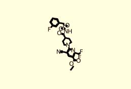 CCOC(=O)c1cc(C#N)c(N2CCC(C(=O)NS(=O)(=O)Cc3cccc(F)c3)CC2)nc1C(F)F